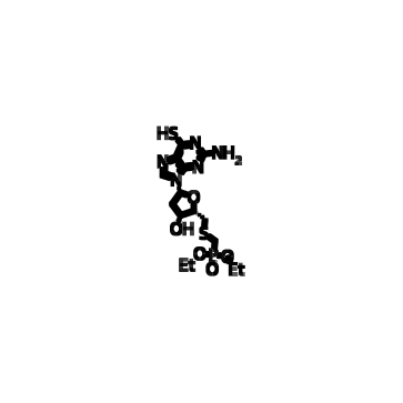 CCOP(=O)(CSC[C@H]1O[C@@H](n2cnc3c(S)nc(N)nc32)C[C@@H]1O)OCC